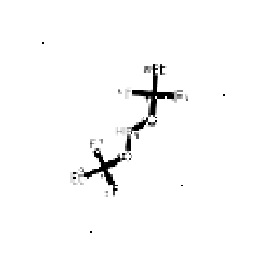 CCC(F)(F)OBOC(F)(F)CC